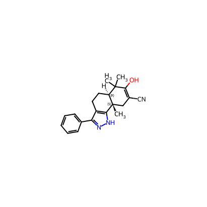 CC1(C)C(O)=C(C#N)C[C@]2(C)c3[nH]nc(-c4ccccc4)c3CC[C@@H]12